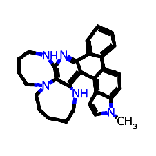 Cn1ccc2c3c(ccc21)c1ccccc1c1nc2c4c(c13)NCCCCCN4CCCCN2